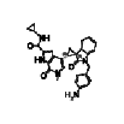 Cn1cc([C@@H]2C[C@@]23C(=O)N(Cc2ccc(N)cc2)c2ccccc23)c2cc(C(=O)NC3CC3)[nH]c2c1=O